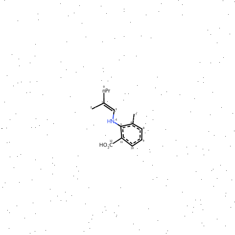 CCCC(C)=CNc1c(C)cccc1C(=O)O